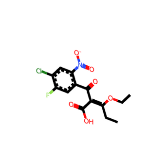 CCOC(CC)=C(C(=O)O)C(=O)c1cc(F)c(Cl)cc1[N+](=O)[O-]